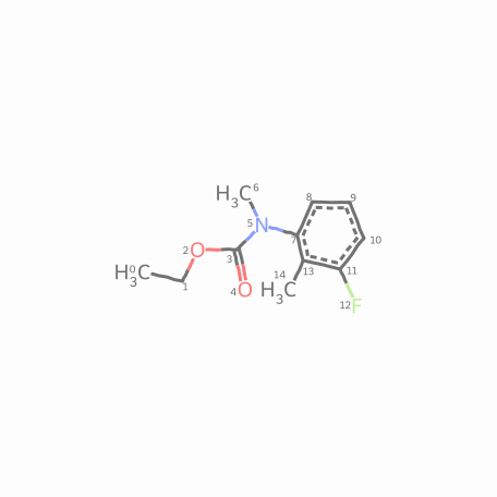 CCOC(=O)N(C)c1cccc(F)c1C